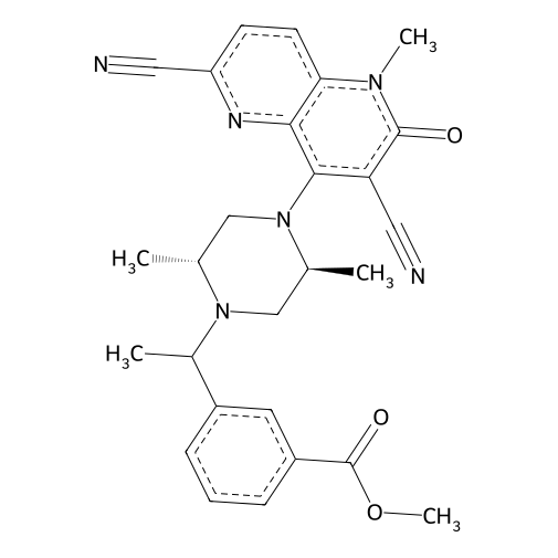 COC(=O)c1cccc(C(C)N2C[C@H](C)N(c3c(C#N)c(=O)n(C)c4ccc(C#N)nc34)C[C@H]2C)c1